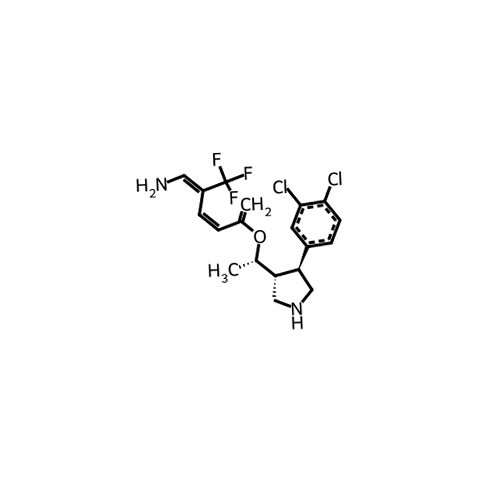 C=C(/C=C\C(=C/N)C(F)(F)F)O[C@@H](C)[C@H]1CNC[C@@H]1c1ccc(Cl)c(Cl)c1